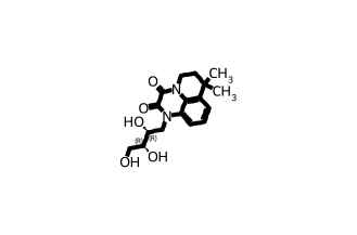 CC1(C)CCn2c(=O)c(=O)n(C[C@@H](O)[C@H](O)CO)c3cccc1c32